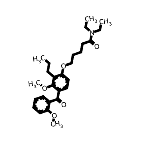 CCCc1c(OCCCCC(=O)N(CC)CC)ccc(C(=O)c2ccccc2OC)c1OC